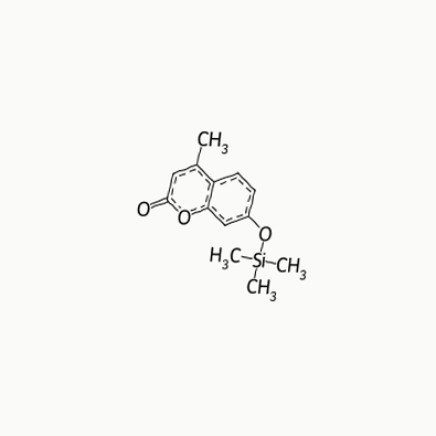 Cc1cc(=O)oc2cc(O[Si](C)(C)C)ccc12